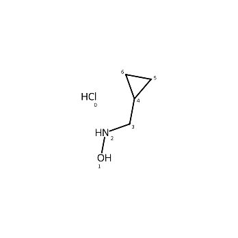 Cl.ONCC1CC1